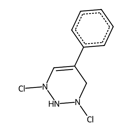 ClN1C=C(c2ccccc2)CN(Cl)N1